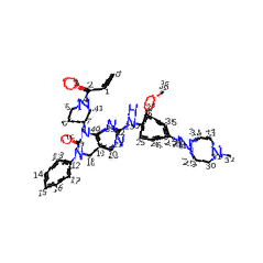 C=CC(=O)N1CC[C@H](N2C(=O)N(c3ccccc3)Cc3cnc(Nc4ccc(N5CCN(C)CC5)cc4OC)nc32)C1